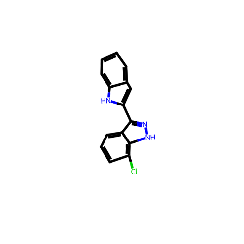 Clc1cccc2c(-c3cc4ccccc4[nH]3)n[nH]c12